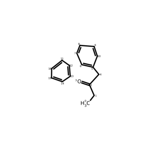 CCC(=O)Cc1ccccc1.c1ccccc1